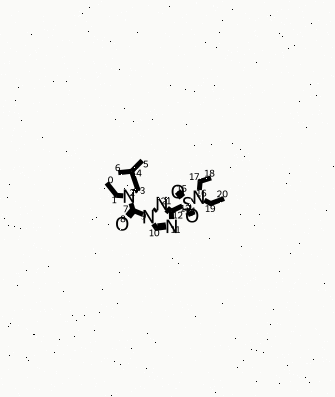 CCN(CC(C)C)C(=O)n1cnc(S(=O)(=O)N(CC)CC)n1